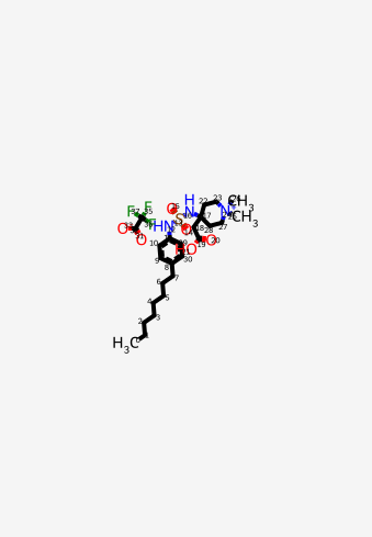 CCCCCCCCc1ccc(NS(=O)(=O)NC2(CC(=O)O)CC[N+](C)(C)CC2)cc1.O=C([O-])C(F)(F)F